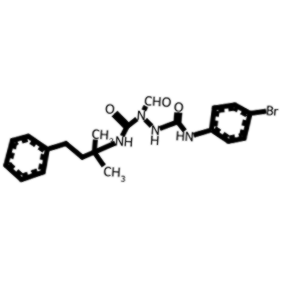 CC(C)(CCc1ccccc1)NC(=O)N(C=O)NC(=O)Nc1ccc(Br)cc1